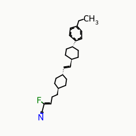 CCc1ccc([C@H]2CC[C@H](C=C[C@H]3CC[C@H](CCC=C(F)C#N)CC3)CC2)cc1